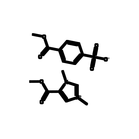 COC(=O)c1c[n+](C)cn1C.COC(=O)c1ccc(S(=O)(=O)[O-])cc1